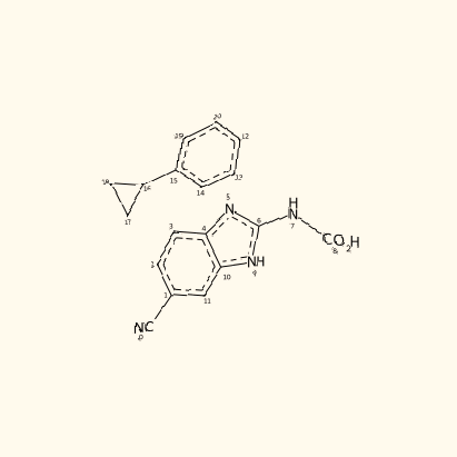 N#Cc1ccc2nc(NC(=O)O)[nH]c2c1.c1ccc(C2CC2)cc1